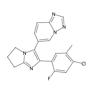 Cc1cc(-c2nc3n(c2-c2ccc4ncnn4c2)CCC3)c(F)cc1Cl